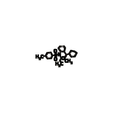 C=CC(=O)N(c1ccccc1C(=CC)c1ccccc1)S(=O)(=O)c1ccc(C)cc1